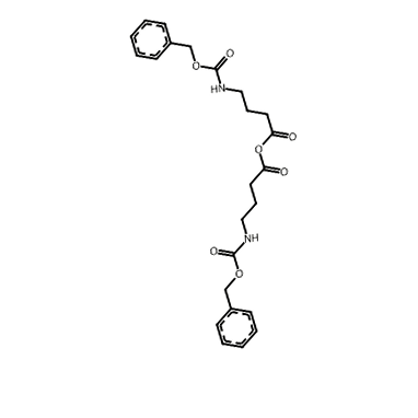 O=C(CCCNC(=O)OCc1ccccc1)OC(=O)CCCNC(=O)OCc1ccccc1